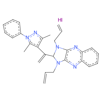 C=CCN1c2nc3ccccc3nc2N(CC=C)C1C(=C)c1c(C)nn(-c2ccccc2)c1C.I